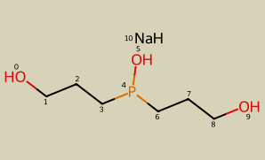 OCCCP(O)CCCO.[NaH]